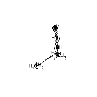 CC(C)(C)OC(=O)CCCCCCCCCCCCCCCCCCC(=O)N[C@@H](CCCC(=O)NCCOCCOCC(=O)NCCOCCOCC(=O)ON1C(=O)CCC1=O)C(=O)OC(C)(C)C